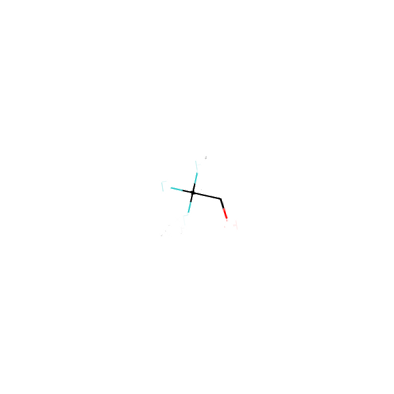 OCC(F)(F)F.[Cu]